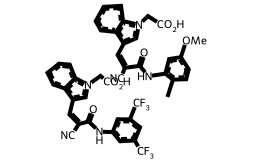 COc1ccc(C)c(NC(=O)C(C#N)=Cc2cn(CC(=O)O)c3ccccc23)c1.N#CC(=Cc1cn(CC(=O)O)c2ccccc12)C(=O)Nc1cc(C(F)(F)F)cc(C(F)(F)F)c1